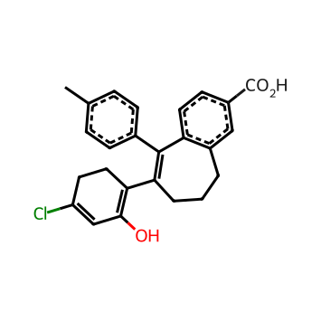 Cc1ccc(C2=C(C3=C(O)C=C(Cl)CC3)CCCc3cc(C(=O)O)ccc32)cc1